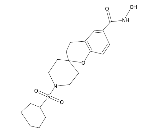 O=C(NO)c1ccc2c(c1)CCC1(CCN(S(=O)(=O)C3CCCCC3)CC1)O2